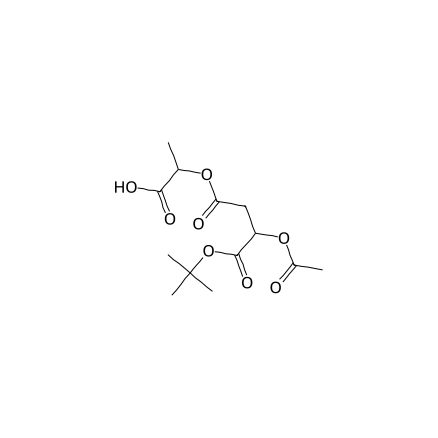 CC(=O)OC(CC(=O)OC(C)C(=O)O)C(=O)OC(C)(C)C